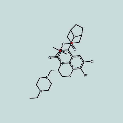 CCN1CCN(C[C@H]2CSc3c(Br)c(Cl)cc4c(N5CC6CCC(C5)N6C(=O)OC(C)(C)C)nc(=O)n2c34)CC1